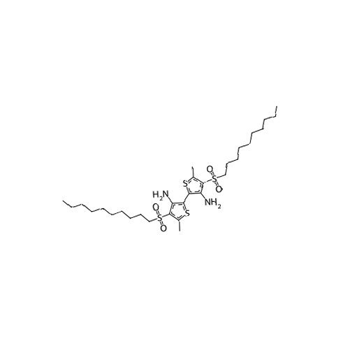 CCCCCCCCCCS(=O)(=O)c1c(C)sc(-c2sc(C)c(S(=O)(=O)CCCCCCCCCC)c2N)c1N